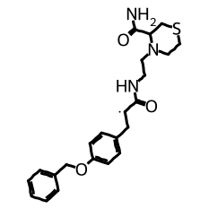 NC(=O)C1CSCCN1CCNC(=O)[CH]Cc1ccc(OCc2ccccc2)cc1